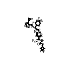 O=C(CC1CC(F)(F)C1)NC(c1cnn2cc([C@@H](NC(=O)c3nonc3C3CC3)C3CCC(F)(F)CC3)nc2c1)C(F)(F)F